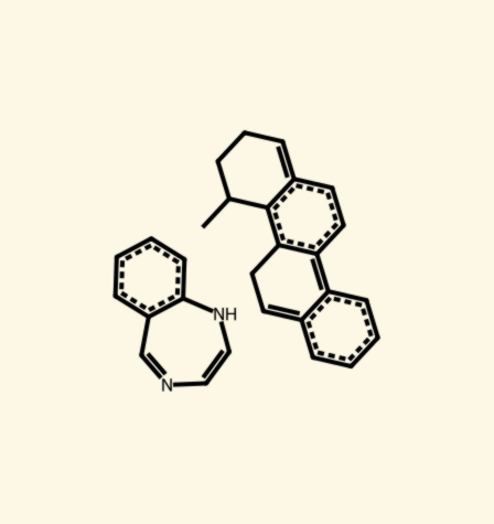 C1=CNc2ccccc2C=N1.CC1CCC=c2ccc3c(c21)CC=c1ccccc1=3